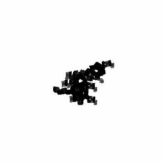 CC1=C[C@H]2[C@@]3(O)[C@H](C)C[C@@](C)(OC(=O)CC4(C)CC5CC(C)CC(C5)C4)C(C)(C)[C@@H]3C=C(COC=O)C[C@]2(O)C1=O